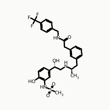 C[C@H](Cc1cccc(CC(=O)NCc2ccc(C(F)(F)F)cc2)c1)NC[C@@H](O)c1ccc(O)c(NS(C)(=O)=O)c1